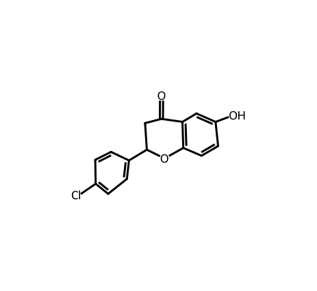 O=C1CC(c2ccc(Cl)cc2)Oc2ccc(O)cc21